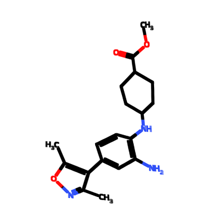 COC(=O)C1CCC(Nc2ccc(-c3c(C)noc3C)cc2N)CC1